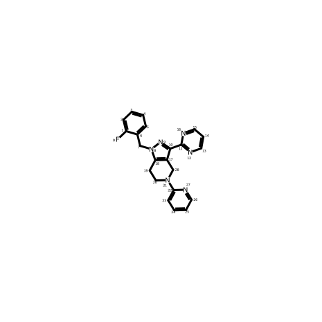 Fc1ccccc1Cn1nc(-c2ncccn2)c2c1CCN(c1ccccn1)C2